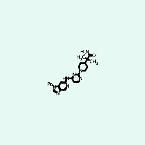 CC(C)n1cnc2cnc(Nc3ccnc(N4CCC(C(C)(C)C(N)=O)CC4)n3)cc21